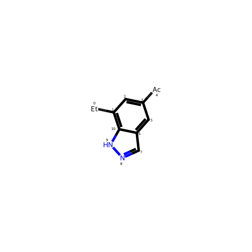 CCc1cc(C(C)=O)cc2cn[nH]c12